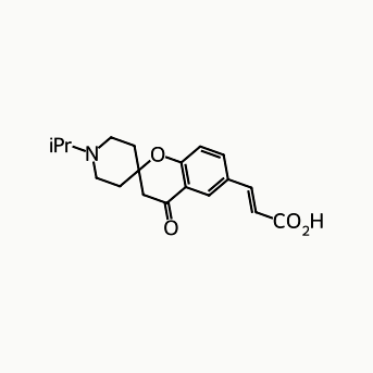 CC(C)N1CCC2(CC1)CC(=O)c1cc(C=CC(=O)O)ccc1O2